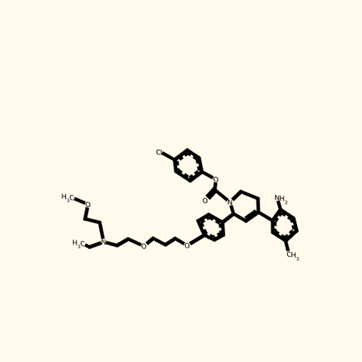 CCN(CCOC)CCOCCCOc1ccc(C2C=C(c3cc(C)ccc3N)CCN2C(=O)Oc2ccc(Cl)cc2)cc1